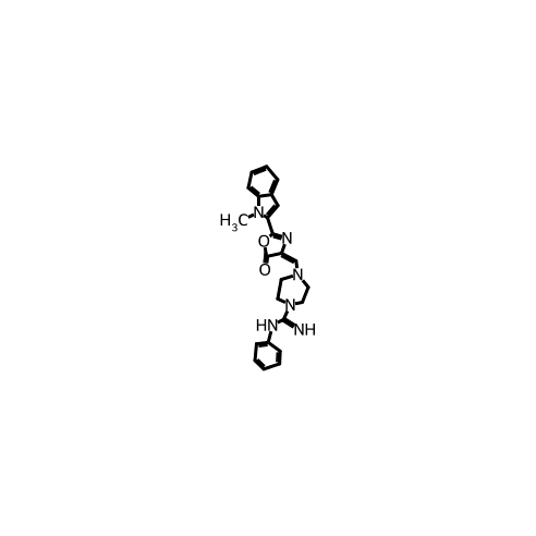 Cn1c(C2=NC(=CN3CCN(C(=N)Nc4ccccc4)CC3)C(=O)O2)cc2ccccc21